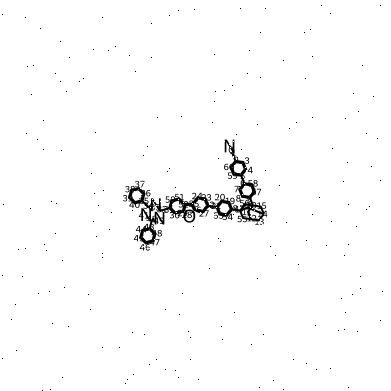 N#Cc1ccc(-c2ccc(C34CC5CC(C3)CC(c3ccc(-c6ccc7c(c6)oc6cc(-c8nc(-c9ccccc9)nc(-c9ccccc9)n8)ccc67)cc3)(C5)C4)cc2)cc1